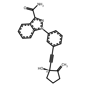 C=C1CCC[C@]1(O)C#Cc1cccc(-n2nc(C(N)=O)c3ccccc32)c1